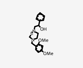 COc1ccc(CN2CCN(CC(O)c3ccccc3)CC2)c(OC)c1